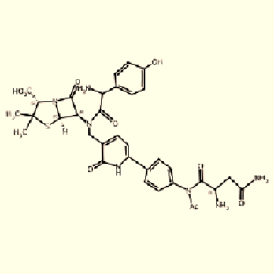 CC(=O)N(C(=O)[C@H](N)CC(N)=O)c1ccc(-c2ccc(CN(C(=O)C(N)c3ccc(O)cc3)[C@@H]3C(=O)N4[C@@H]3SC(C)(C)[C@@H]4C(=O)O)c(=O)[nH]2)cc1